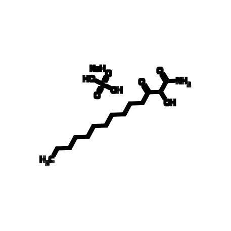 CCCCCCCCCCCC(=O)C(O)C(N)=O.O=S(=O)(O)O.[NaH]